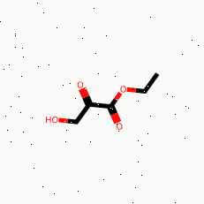 CCOC(=O)C(=O)CO